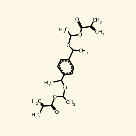 C=C(C)C(=O)OC(C)OC(C)c1ccc(C(C)OC(C)OC(=O)C(=C)C)cc1